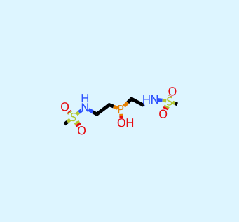 CS(=O)(=O)NCCP(O)CCNS(C)(=O)=O